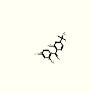 CC(C)(O)c1ccc(C(=O)c2ccc(F)cc2Cl)c(Br)c1